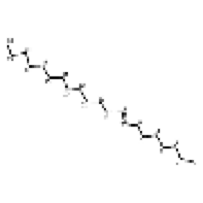 CCCCCCCC=CCCCCCCCCCCCC